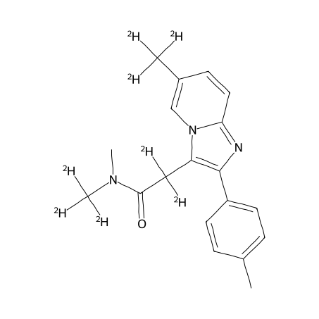 [2H]C([2H])([2H])c1ccc2nc(-c3ccc(C)cc3)c(C([2H])([2H])C(=O)N(C)C([2H])([2H])[2H])n2c1